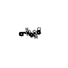 O=C(Nc1cccc(Cl)c1)c1cc(S(=O)(=O)NCCC2=CCCCC2)ccc1F